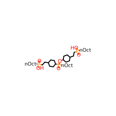 CCCCCCCCP(=O)(O)CCC1CCC(OP(=O)(CCCCCCCC)C2CCC(CCP(=O)(O)CCCCCCCC)CC2)CC1